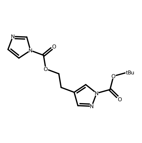 CC(C)(C)OC(=O)n1cc(CCOC(=O)n2ccnc2)cn1